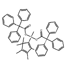 CC1=C(C)C(C)(C)[C]([Ti]([CH3])([O]C(=O)C(c2ccccc2)(c2ccccc2)c2ccccc2)[O]C(=O)C(c2ccccc2)(c2ccccc2)c2ccccc2)=C1C